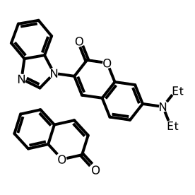 CCN(CC)c1ccc2cc(-n3cnc4ccccc43)c(=O)oc2c1.O=c1ccc2ccccc2o1